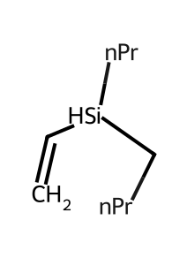 C=C[SiH](CCC)CCCC